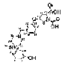 CN(C)C1(c2cccc(O)c2)CCN(Cc2cccc(O[C@H]3C[C@@H](C(=O)O)N(C(=O)O)C3)c2)CC1